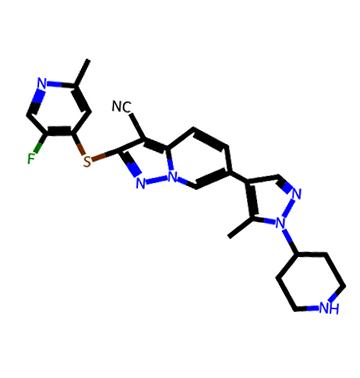 Cc1cc(Sc2nn3cc(-c4cnn(C5CCNCC5)c4C)ccc3c2C#N)c(F)cn1